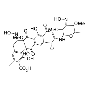 COC1C(=NO)C(OC)C(NC2=CC(=O)c3c(cc4c(c3O)C(=O)C3(OC)C(=NO)Cc5cc(C)c(C(=O)O)c(O)c5C3(O)C4=O)C2=O)OC1C